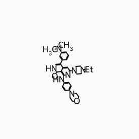 CCN1CCN(c2cc3c(-c4cccc(N(C)C)c4)c[nH]c(=O)c3c(Nc3ccc(N4CCOCC4)cc3)n2)CC1